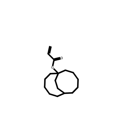 C=CC(=O)OC12CCCCCC(CCCCC1)CC2